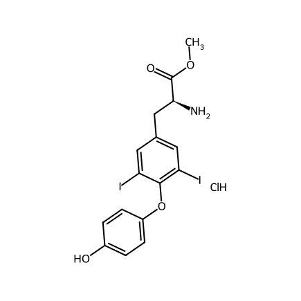 COC(=O)[C@@H](N)Cc1cc(I)c(Oc2ccc(O)cc2)c(I)c1.Cl